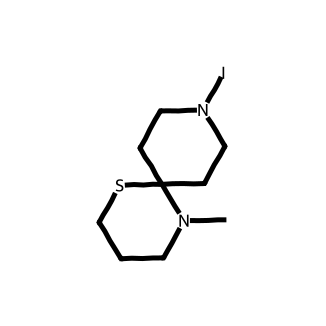 CN1CCCSC12CCN(I)CC2